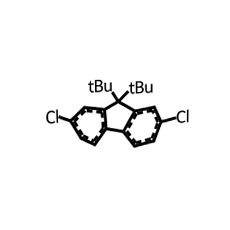 CC(C)(C)C1(C(C)(C)C)c2cc(Cl)ccc2-c2ccc(Cl)cc21